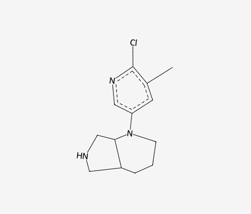 Cc1cc(N2CCCC3CNCC32)cnc1Cl